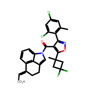 Cc1cc(Cl)cc(Cl)c1-c1noc(C2(C)CC(F)(F)C2)c1C(=O)n1cc2c3c(cccc31)/C(=C/C(=O)O)CC2